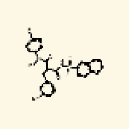 CC(C)N(C(=O)C(Cc1cccc(C#N)c1)C(=O)NS(=O)(=O)c1ccc2ccccc2c1)c1ccc(F)cc1